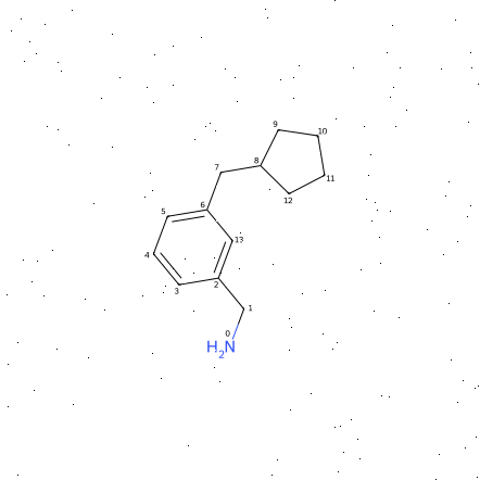 NCc1cccc(CC2CCCC2)c1